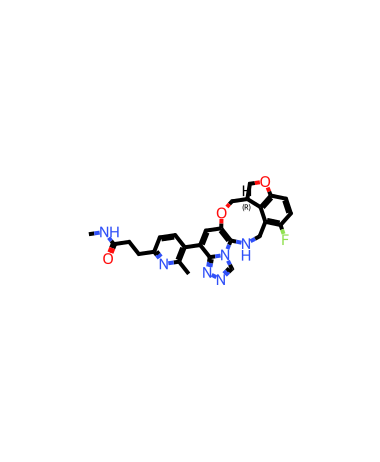 CNC(=O)CCc1ccc(-c2cc3c(n4cnnc24)NCc2c(F)ccc4c2[C@H](CO4)CO3)c(C)n1